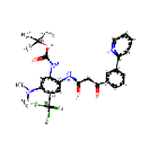 CN(C)c1cc(NC(=O)OC(C)(C)C)c(NC(=O)CC(=O)c2cccc(-c3ccccn3)c2)cc1C(F)(F)F